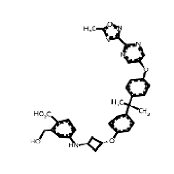 Cc1nc(-c2ncc(Oc3ccc(C(C)(C)c4ccc(O[C@H]5C[C@H](Nc6ccc(C(=O)O)c(CO)c6)C5)cc4)cc3)cn2)no1